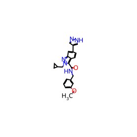 COc1cccc(CNC(=O)c2c3ccc(-c4cn[nH]c4)cc3nn2CC2CC2)c1